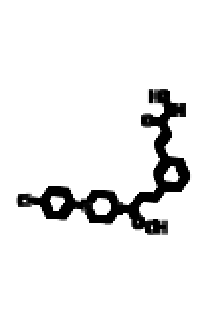 Cl.O=C(C=Cc1cccc(C=CC(=O)N2CCN(c3ccc(Cl)cc3)CC2)c1)NO